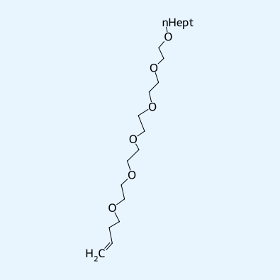 C=CCCOCCOCCOCCOCCOCCOCCCCCCC